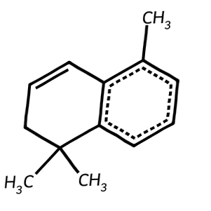 Cc1cccc2c1C=CCC2(C)C